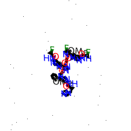 COc1ccccc1-c1cc2cc(NC(=O)C3CC3CN3CCN(C)CC3)ncc2n1CCOc1ncnc(OCCOc2ncc(F)c(OC)c2-c2cc3cc(NC(=O)C4CC4F)ncc3n2C)c1-c1cc2cc(NC(=O)C3CC3F)ncc2n1C